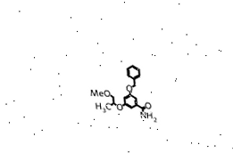 COCC(C)Oc1cc(OCc2ccccc2)cc(C(N)=O)c1